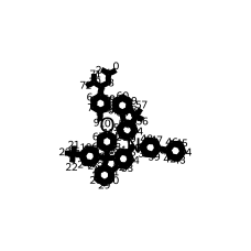 CC(C)CC(c1ccc(COc2ccc(C3(c4ccc(C(C)(C)C)cc4)c4ccccc4-c4ccc(N(c5ccc(-c6ccccc6)cc5)c5ccc6c(c5)C(C)(C)c5ccccc5-6)cc43)cc2)cc1)C(C)C